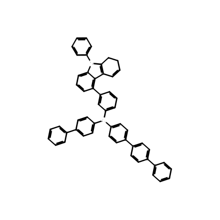 C1=Cc2c(n(-c3ccccc3)c3cccc(-c4cccc(N(c5ccc(-c6ccccc6)cc5)c5ccc(-c6ccc(-c7ccccc7)cc6)cc5)c4)c23)CC1